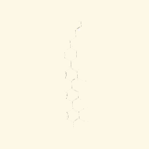 C/C=C/CCC1CCC(c2ccc(-c3ccc(-c4ccc(CCCCCCCC)c(F)c4F)cc3)c(F)c2)CO1